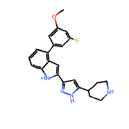 COc1cc(F)cc(-c2cccc3[nH]c(-c4cc(C5CCNCC5)[nH]n4)cc23)c1